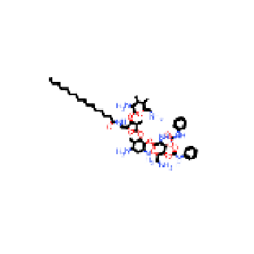 CCCCCCCCCCCCCCCC(=O)NCC1OC(OC2C(C)C(N)CC(N)C2OC2OC(CN)C(OC(=O)Nc3ccccc3)C(OC(=O)Nc3ccccc3)C2N)C(C)C1OC1OC(CN)C(C)C(C)C1N